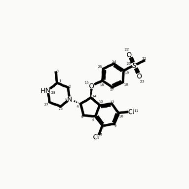 CC1CN([C@H]2Cc3c(Cl)cc(Cl)cc3[C@@H]2Oc2ccc(S(C)(=O)=O)cc2)CCN1